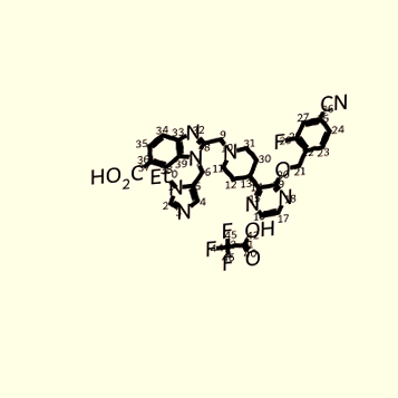 CCn1cncc1Cn1c(CN2CCC(c3nccnc3OCc3ccc(C#N)cc3F)CC2)nc2ccc(C(=O)O)cc21.O=C(O)C(F)(F)F